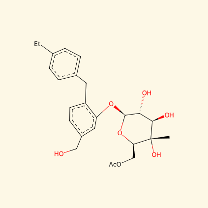 CCc1ccc(Cc2ccc(CO)cc2O[C@@H]2O[C@H](COC(C)=O)[C@@](C)(O)[C@H](O)[C@H]2O)cc1